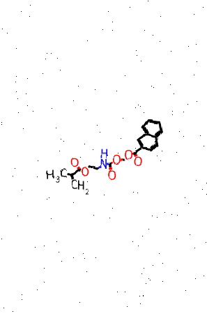 C=C(C)C(=O)OCCNC(=O)OCOC(=O)c1ccc2ccccc2c1